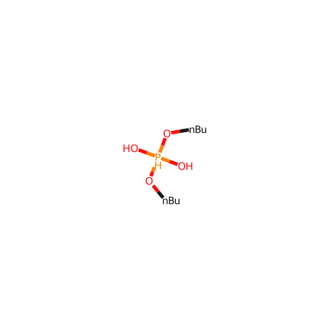 CCCCO[PH](O)(O)OCCCC